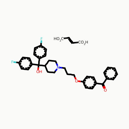 O=C(O)/C=C/C(=O)O.O=C(c1ccccc1)c1ccc(OCCCN2CCC(C(O)(c3ccc(F)cc3)c3ccc(F)cc3)CC2)cc1